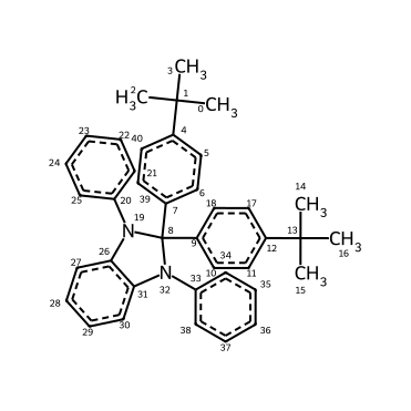 CC(C)(C)c1ccc(C2(c3ccc(C(C)(C)C)cc3)N(c3ccccc3)c3ccccc3N2c2ccccc2)cc1